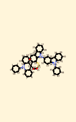 c1ccc(N2c3ccccc3C3(c4ccccc4Sc4c3ccc3c5ccccc5n(-c5ccc6c(c5)c5ccccc5n6-c5ccccc5)c43)c3ccccc32)cc1